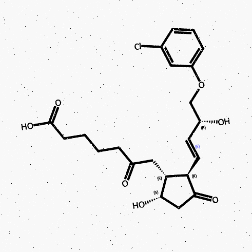 O=C(O)CCCCC(=O)C[C@H]1[C@@H](O)CC(=O)[C@@H]1/C=C/[C@@H](O)COc1cccc(Cl)c1